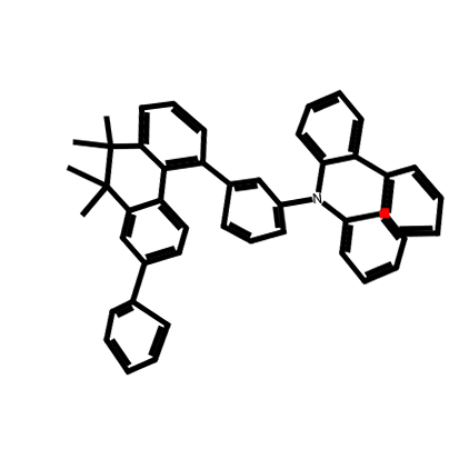 CC1(C)c2cc(-c3ccccc3)ccc2-c2c(-c3cccc(N(c4ccccc4)c4ccccc4-c4ccccc4)c3)cccc2C1(C)C